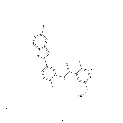 Cc1ccc(-c2cn3cc(F)cnc3n2)cc1NC(=O)c1cc(CO)ccc1C